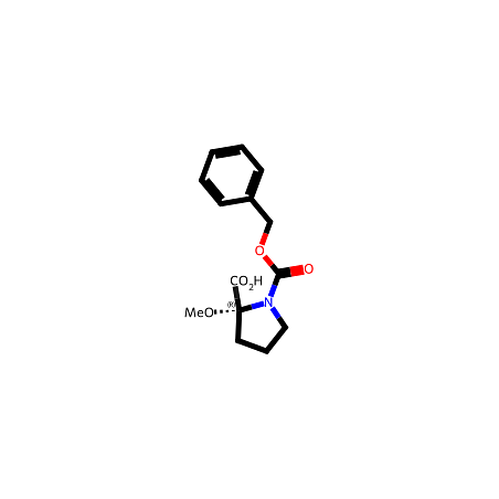 CO[C@@]1(C(=O)O)CCCN1C(=O)OCc1ccccc1